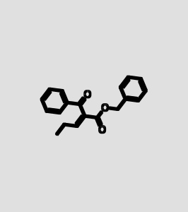 CCC=C(C(=O)OCc1ccccc1)C(=O)c1ccccc1